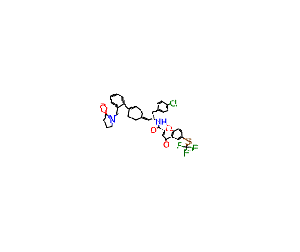 O=C(N[C@@H](C=C1CCC(c2ccccc2CN2CCCC2=O)CC1)Cc1ccc(Cl)cc1)c1cc(=O)c2cc(SC(F)(F)F)ccc2o1